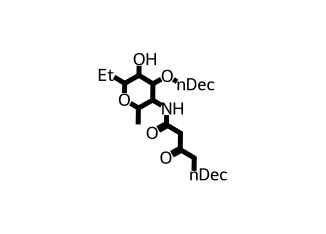 CCCCCCCCCCCC(=O)CC(=O)NC1C(C)OC(CC)C(O)C1OCCCCCCCCCC